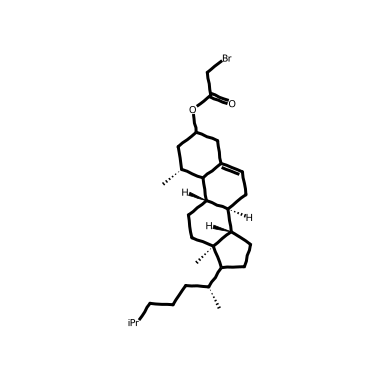 CC(C)CCC[C@@H](C)C1CC[C@H]2[C@@H]3CC=C4CC(OC(=O)CBr)C[C@@H](C)C4[C@H]3CC[C@]12C